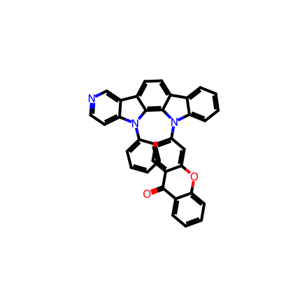 O=c1c2ccccc2oc2cc(-n3c4ccccc4c4ccc5c6cnccc6n(-c6ccccc6)c5c43)ccc12